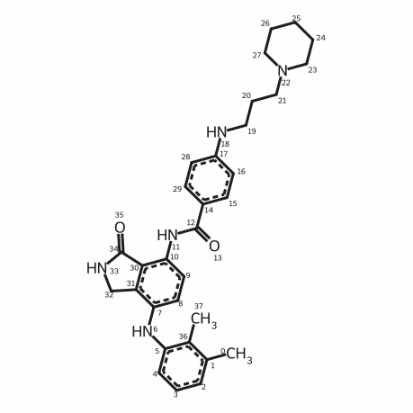 Cc1cccc(Nc2ccc(NC(=O)c3ccc(NCCCN4CCCCC4)cc3)c3c2CNC3=O)c1C